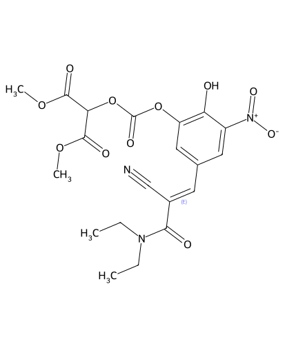 CCN(CC)C(=O)/C(C#N)=C/c1cc(OC(=O)OC(C(=O)OC)C(=O)OC)c(O)c([N+](=O)[O-])c1